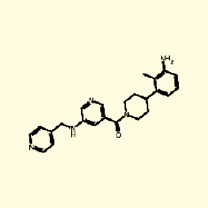 Cc1c(N)cccc1C1CCN(C(=O)c2cncc(NCc3ccncc3)c2)CC1